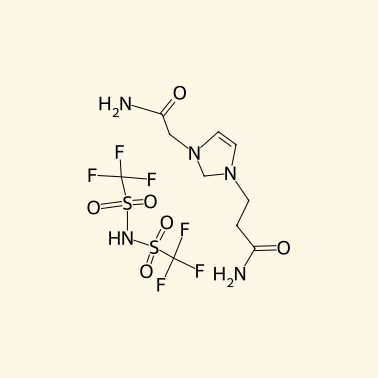 NC(=O)CCN1C=CN(CC(N)=O)C1.O=S(=O)(NS(=O)(=O)C(F)(F)F)C(F)(F)F